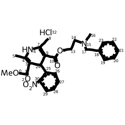 COC(=O)C1=C(C)NC(C)=C(C(=O)OCCN(C)Cc2ccccc2)C1c1ccccc1[N+](=O)[O-].Cl